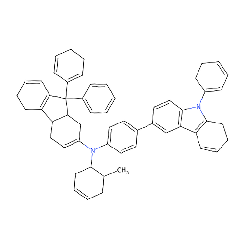 CC1CC=CCC1N(C1=CCC2C3=C(C=CCC3)C(C3=CCCC=C3)(c3ccccc3)C2C1)c1ccc(-c2ccc3c(c2)c2c(n3C3=CC=CCC3)CCC=C2)cc1